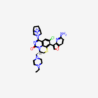 CCN1CCN(C[C@H]2CSc3c(-c4coc5ccc(N)nc45)c(Cl)cc4c(N5CC6CCC(C5)N6)nc(=O)n2c34)CC1